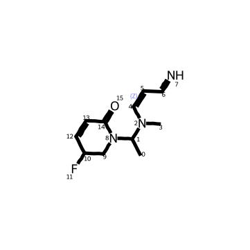 CC(N(C)/C=C\C=N)N1CC(F)C=CC1=O